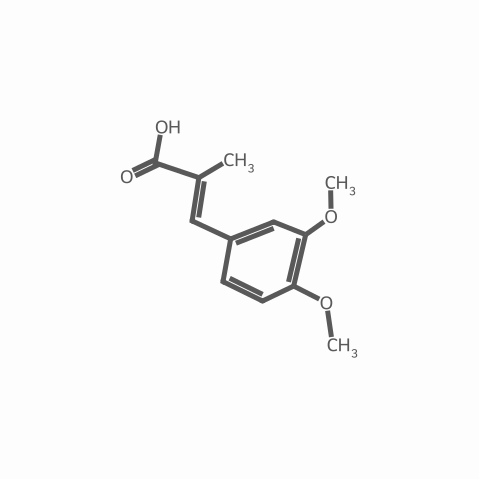 COc1ccc(/C=C(\C)C(=O)O)cc1OC